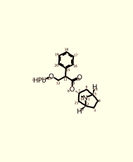 CN1[C@@H]2CC[C@H]1C[C@@H](OC(=O)C(C[O][PbH])c1ccccc1)C2